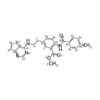 COC(=O)c1cc(CCNc2ncnc3ccsc23)ccc1NC(=O)c1ccc(C)cc1